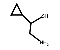 NCC(S)C1CC1